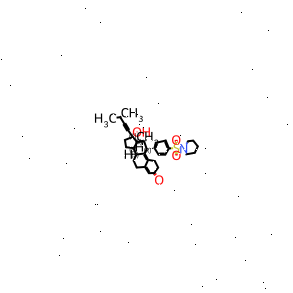 CC(C)C#C[C@]1(O)CC[C@H]2[C@@H]3CCC4=CC(=O)CCC4=C3[C@@H](c3ccc(S(=O)(=O)N4CCCCC4)cc3)C[C@@]21C